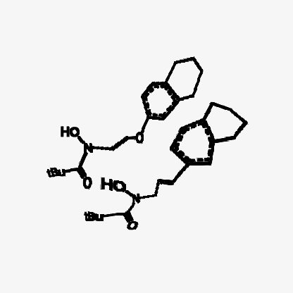 CC(C)(C)C(=O)N(O)CC=Cc1ccc2c(c1)CCCC2.CC(C)(C)C(=O)N(O)CCOc1ccc2c(c1)CCCC2